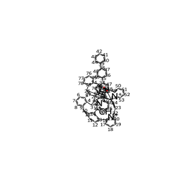 C=C1/C=C2/c3ccccc3-c3ccc(c1c3)-c1cccc[n+]1C/C1=C\C34C5=CC67C(=C3c3cc(c(-c8ccc(-c9ccccc9)cc8)cc3-c3cccc[n+]34)-c3ccccc31)C26[n+]1ccccc1-c1ccc(cc17)-c1ccccc15